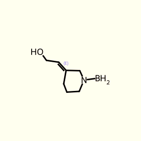 BN1CCC/C(=C\CO)C1